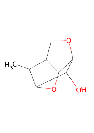 CC1C2COC3C(O)C1OC23